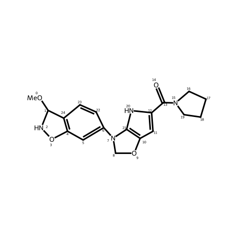 COC1NOc2cc(N3COc4cc(C(=O)N5CCCC5)[nH]c43)ccc21